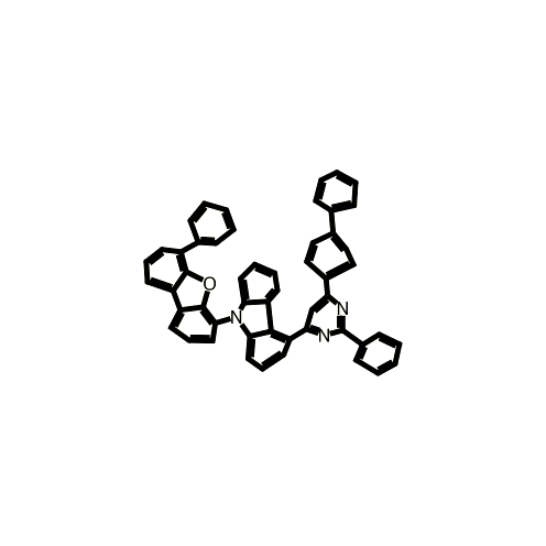 c1ccc(-c2ccc(-c3cc(-c4cccc5c4c4ccccc4n5-c4cccc5c4oc4c(-c6ccccc6)cccc45)nc(-c4ccccc4)n3)cc2)cc1